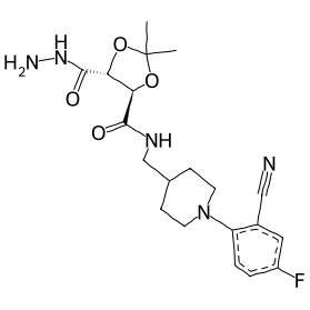 CC1(C)O[C@@H](C(=O)NN)[C@H](C(=O)NCC2CCN(c3ccc(F)cc3C#N)CC2)O1